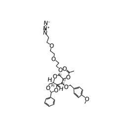 COc1ccc(CO[C@@H]2[C@H](OC(C)=O)[C@@H](OCCOCCOCCN=[N+]=[N-])O[C@@H]3COC(c4ccccc4)O[C@@H]23)cc1